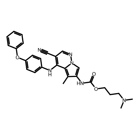 Cc1c(NC(=O)OCCCN(C)C)cn2ncc(C#N)c(Nc3ccc(Oc4ccccc4)cc3)c12